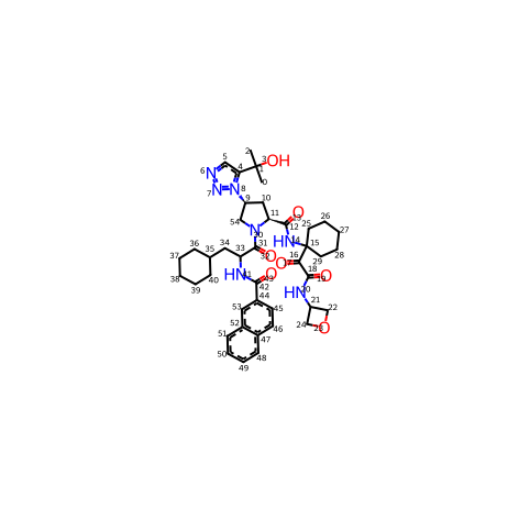 CC(C)(O)c1cnnn1[C@H]1C[C@@H](C(=O)NC2(C(=O)C(=O)NC3COC3)CCCCC2)N(C(=O)C(CC2CCCCC2)NC(=O)c2ccc3ccccc3c2)C1